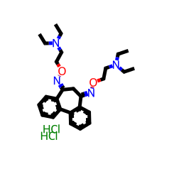 CCN(CC)CCON=C1CC(=NOCCN(CC)CC)c2ccccc2-c2ccccc21.Cl.Cl